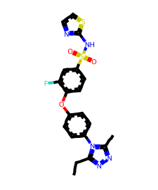 CCc1nnc(C)n1-c1ccc(Oc2ccc(S(=O)(=O)Nc3nccs3)cc2F)cc1